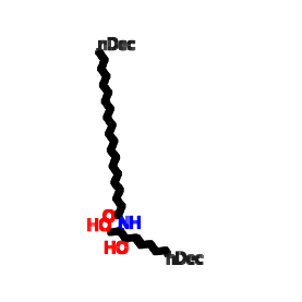 CCCCCCCCCCCCC/C=C/C(O)C(CO)NC(=O)CCCCCCCCCCCCCCCCCCCCCCCCCCCCCC